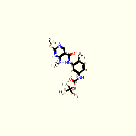 CNc1nc(SC)ncc1C(=O)Nc1cc(NC(=O)OC(C)(C)C)ccc1C